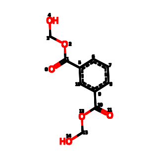 O=C(OCO)c1cccc(C(=O)OCO)c1